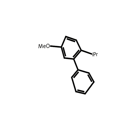 COc1ccc(C(C)C)c(-c2ccccc2)c1